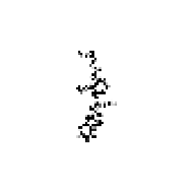 COCCCOc1ccnc(CNS(=O)(=O)c2nc3ccccc3[nH]2)c1C.[Na]